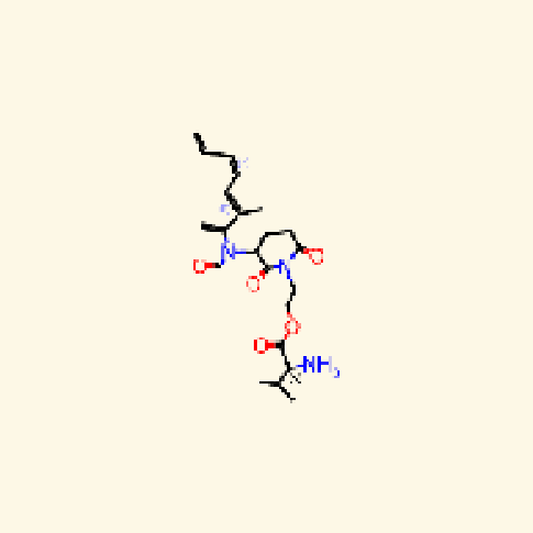 C=C/C=C\C=C(/C)C(=C)N(C=O)C1CCC(=O)N(CCOC(=O)[C@@H](N)C(C)C)C1=O